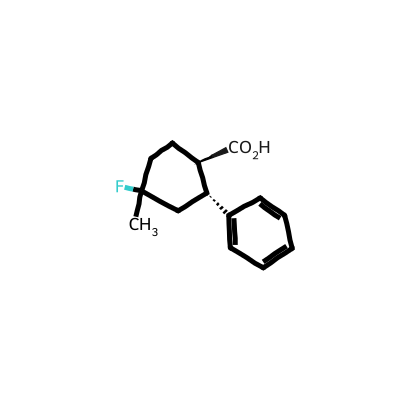 CC1(F)CC[C@@H](C(=O)O)[C@H](c2ccccc2)C1